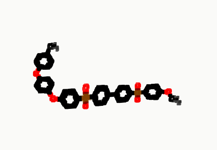 COc1ccc(S(=O)(=O)c2ccc(-c3ccc(S(=O)(=O)c4ccc(Oc5ccc(Oc6ccc(C)cc6)cc5)cc4)cc3)cc2)cc1